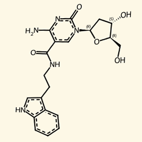 Nc1nc(=O)n([C@H]2C[C@H](O)[C@@H](CO)O2)cc1C(=O)NCCc1c[nH]c2ccccc12